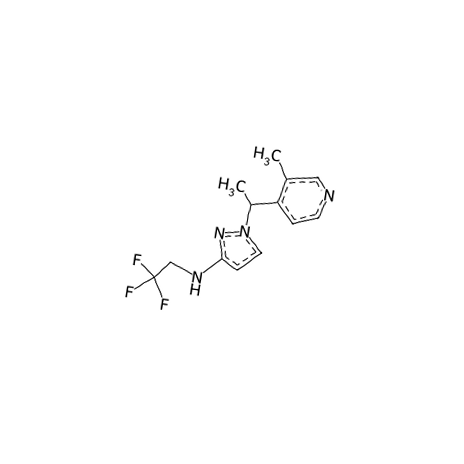 Cc1cnccc1C(C)n1ccc(NCC(F)(F)F)n1